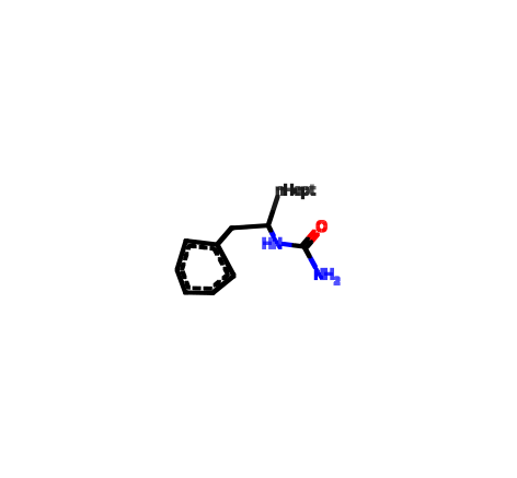 CCCCCCCC(Cc1ccccc1)NC(N)=O